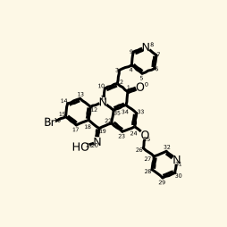 O=c1c(Cc2cccnc2)cn2c3ccc(Br)cc3c(=NO)c3cc(OCc4cccnc4)cc1c32